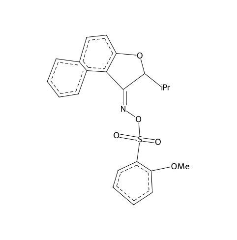 COc1ccccc1S(=O)(=O)O/N=C1/c2c(ccc3ccccc23)OC1C(C)C